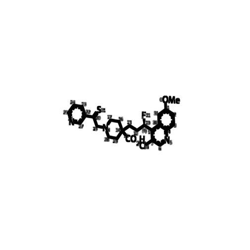 COc1ccc2ncc(Cl)c([C@H](F)CCC3(C(=O)O)CCN(CC(=S)c4cccnc4)CC3)c2c1